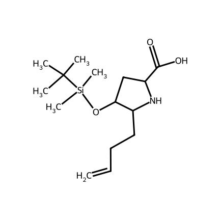 C=CCCC1NC(C(=O)O)CC1O[Si](C)(C)C(C)(C)C